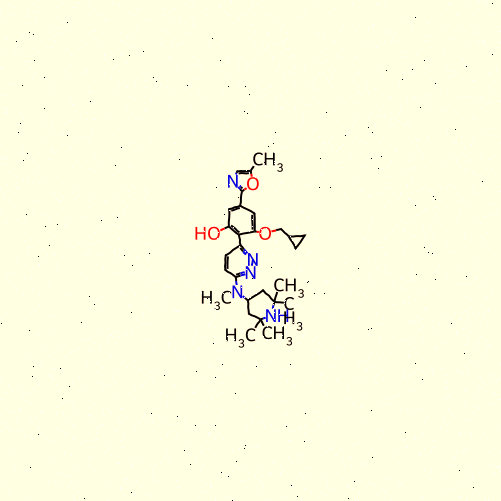 Cc1cnc(-c2cc(O)c(-c3ccc(N(C)C4CC(C)(C)NC(C)(C)C4)nn3)c(OCC3CC3)c2)o1